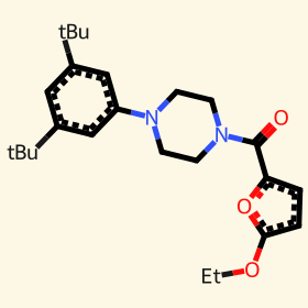 CCOc1ccc(C(=O)N2CCN(c3cc(C(C)(C)C)cc(C(C)(C)C)c3)CC2)o1